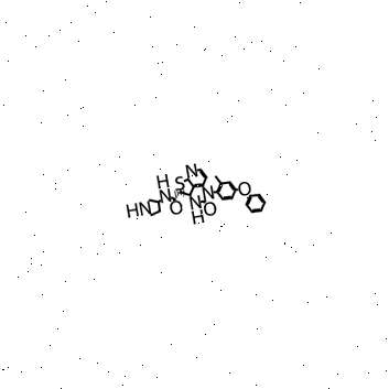 Cc1cc(Oc2ccccc2)ccc1N1C(=O)NC2c3c1ccnc3S[C@H]2C(=O)NC1CCNC1